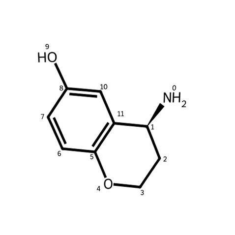 N[C@H]1CCOc2ccc(O)cc21